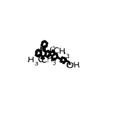 CC1(C)c2cc(-c3ccc(CO)cc3)ccc2-c2cc3c(cc21)N(c1ccccc1)c1ccccc1C3(C)C